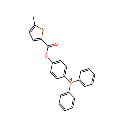 O=C(Oc1ccc([SH](c2ccccc2)c2ccccc2)cc1)c1ccc(I)s1